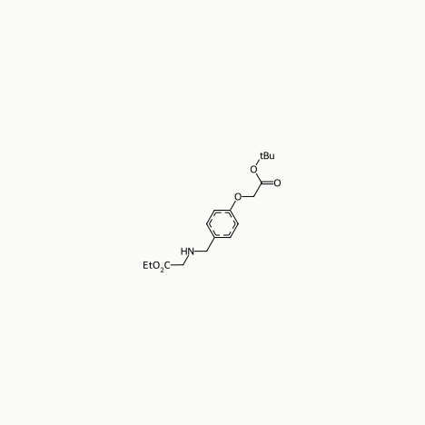 CCOC(=O)CNCc1ccc(OCC(=O)OC(C)(C)C)cc1